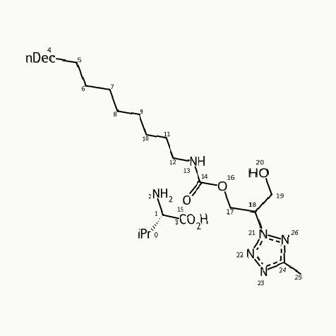 CC(C)[C@H](N)C(=O)O.CCCCCCCCCCCCCCCCCCNC(=O)OCC(CO)n1nnc(C)n1